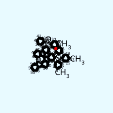 Cc1ccc([Si](c2ccc(C)cc2)(c2ccc(C)cc2)c2ccc(C3(c4ccc(P(=O)(c5ccccc5)c5ccccc5)cc4)c4ccccc4-n4c5ccccc5c5cccc3c54)cc2)cc1